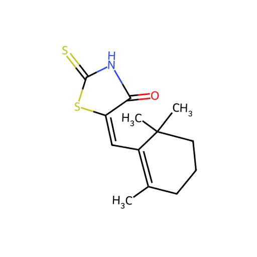 CC1=C(C=C2SC(=S)NC2=O)C(C)(C)CCC1